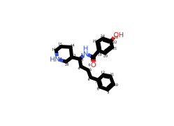 O=C(NC(CCCc1ccccc1)C1CCCNC1)c1ccc(O)cc1